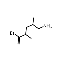 C=C(CC)C(C)CC(C)CN